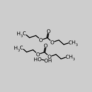 CCCOC(=O)OCCC.CCCOC(=O)OCCC.OO